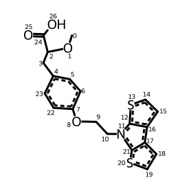 COC(Cc1ccc(OCCn2c3sccc3c3ccsc32)cc1)C(=O)O